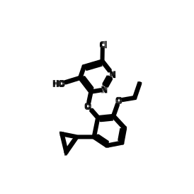 CCOc1cccc(C2CC2)c1Oc1nnc(Cl)cc1O